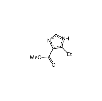 CCc1[nH]cnc1C(=O)OC